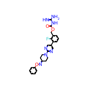 N=C(N)NC(=O)OCc1cccc(-c2cnc(N3CCC(=NOc4ccccc4)CC3)nc2)c1F